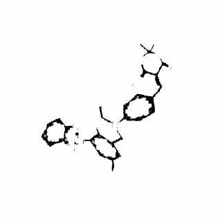 CCN(Cc1cc(C)cc(-n2nc3ccccc3n2)c1O)c1ccc(C=C2C(=O)OC(C)(C)OC2=O)cc1